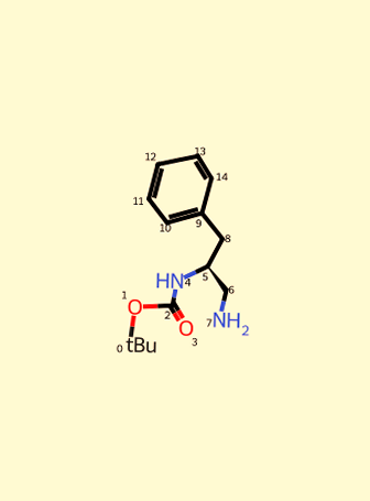 CC(C)(C)OC(=O)N[C@H](CN)Cc1ccccc1